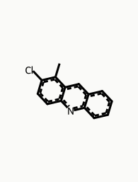 Cc1c(Cl)ccc2nc3ccccc3cc12